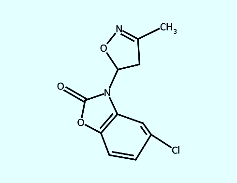 CC1=NOC(n2c(=O)oc3ccc(Cl)cc32)C1